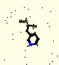 CN[C@@H](Cc1cccnc1)C(C)=O